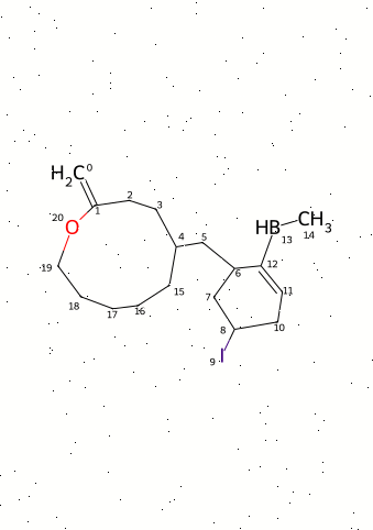 C=C1CCC(CC2CC(I)CC=C2BC)CCCCCO1